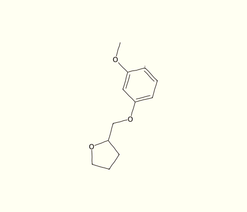 COc1[c]ccc(OCC2CCCO2)c1